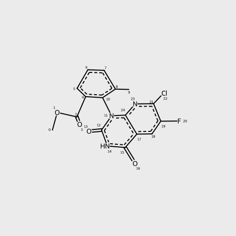 COC(=O)c1cccc(C)c1-n1c(=O)[nH]c(=O)c2cc(F)c(Cl)nc21